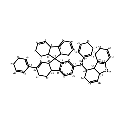 C1=CCC2C(=C1)C1C=CCCC1C21c2cc(N(C3=CCCC=C3)C3CC=CC4OC5=C(CCC=C5)C43)ccc2C2CCC(C3=CCCC=C3)=CC21